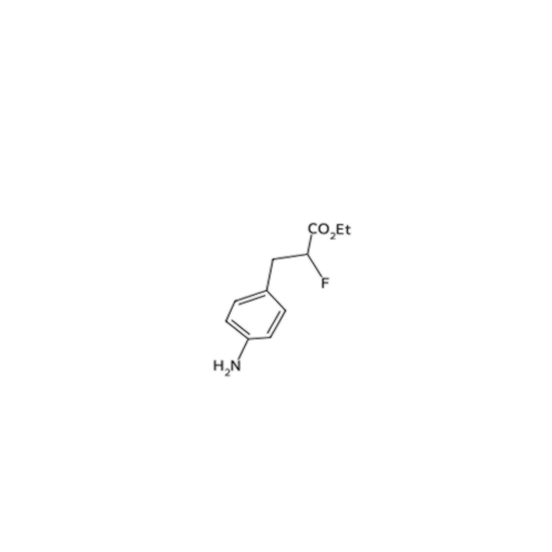 CCOC(=O)C(F)Cc1ccc(N)cc1